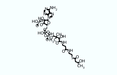 C[C@@H](O)CC(=O)SCCNC(=O)CCNC(=O)[C@H](O)C(C)(C)COP(=O)(O)OP(=O)(O)OC[C@H]1O[C@@H](n2cnc3c(N)ncnc32)[C@H](O)[C@@H]1OP(=O)(O)O